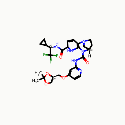 CC1(C)OC[C@H](COc2ccnc(NC(=O)N3C4=C(C=CC(C(=O)N[C@H](C5CC5)C(F)(F)F)N4)N4CC[C@H]3C4)c2)O1